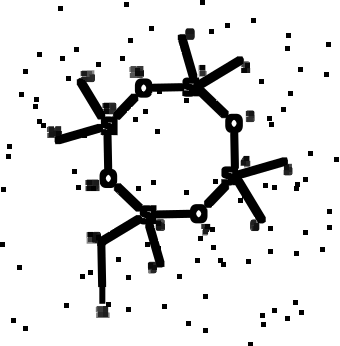 C[Si]1(C)O[Si](C)(C)O[Si](C)(CI)O[Si](C)(C)O1